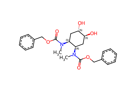 CN(C(=O)OCc1ccccc1)[C@@H]1C[C@H](O)[C@@H](O)C[C@@H]1N(C)C(=O)OCc1ccccc1